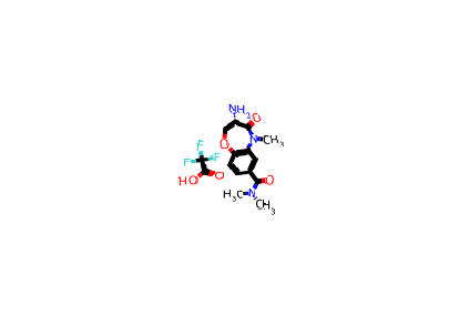 CN(C)C(=O)c1ccc2c(c1)N(C)C(=O)[C@@H](N)CO2.O=C(O)C(F)(F)F